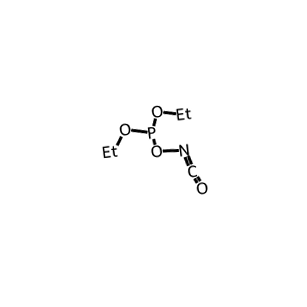 CCOP(OCC)ON=C=O